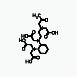 CC(=O)CN(CCN(CC(=O)O)[C@H]1CCCC[C@@H]1N(CC(=O)O)CC(=O)O)CC(=O)O